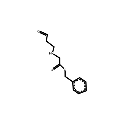 O=CCCNCC(=O)OCc1ccccc1